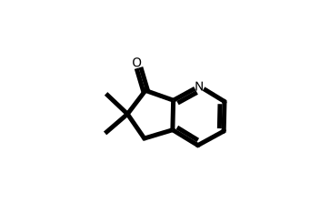 CC1(C)Cc2cccnc2C1=O